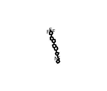 Fc1cc(-c2ccc3cc(-c4ccc5cc(-c6ccc(-c7nc8ccccc8s7)cc6)ccc5c4)ccc3c2)cc(F)c1F